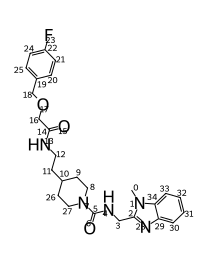 Cn1c(CNC(=O)N2CCC(CCNC(=O)COCc3ccc(F)cc3)CC2)nc2ccccc21